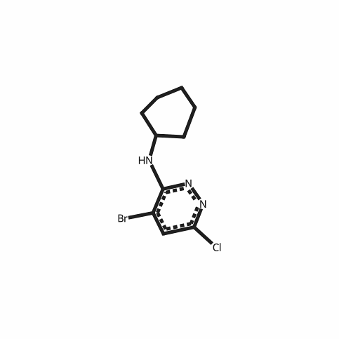 Clc1cc(Br)c(NC2CCCCC2)nn1